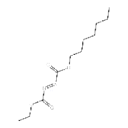 CCCCCCCOC(=O)/N=N/C(=O)OCC